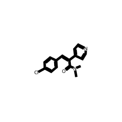 CN(C)C(=O)C(=Cc1ccc(Cl)cc1)c1ccncc1